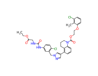 CCOC(=O)CNC(=O)Nc1ccc(Cl)c(Cn2cc(-c3cccc4c3CCCN4C(=O)OCCOc3cccc(Cl)c3C)cn2)c1